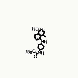 Cc1cnc(O)c2cccc(NC3CCC(NC(=O)OC(C)(C)C)CC3)c12